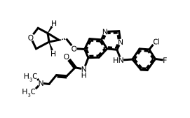 CN(C)C/C=C/C(=O)Nc1cc2c(Nc3ccc(F)c(Cl)c3)ncnc2cc1OC[C@@H]1[C@@H]2COC[C@@H]21